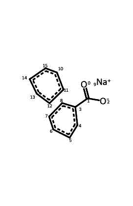 O=C([O-])c1ccccc1.[Na+].c1ccccc1